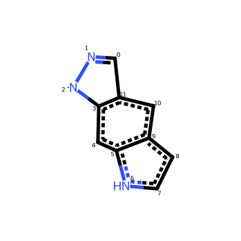 C1=N[N]c2cc3[nH]ccc3cc21